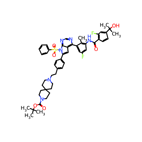 Cc1c(NC(=O)c2ccc(C(C)(C)O)cc2F)cc(F)cc1-c1ncnc2c1cc(-c1ccc(CCN3CCC4(CC3)CCN(C(=O)OC(C)(C)C)CC4)cc1)n2S(=O)(=O)c1ccccc1